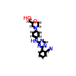 N#Cc1ccccc1-c1ncnc(Nc2ccc(N3CCOC(CO)C3)cc2)n1